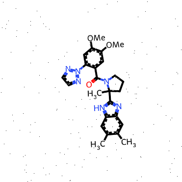 COc1cc(C(=O)N2CCCC2(C)c2nc3cc(C)c(C)cc3[nH]2)c(-n2nccn2)cc1OC